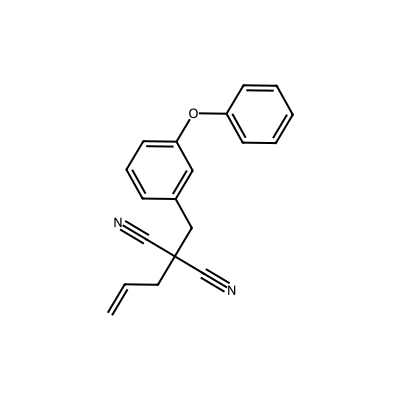 C=CCC(C#N)(C#N)Cc1cccc(Oc2ccccc2)c1